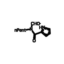 CCCCCN([C]=O)C(=O)c1ccc[nH]1